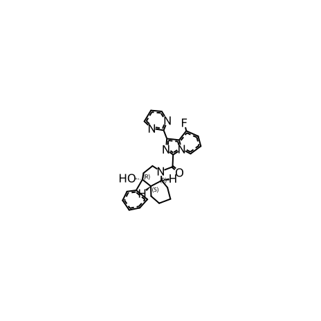 O=C(c1nc(-c2ncccn2)c2c(F)cccn12)N1CC[C@](O)(c2ccccc2)[C@H]2CCCC[C@H]21